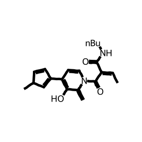 C=C1C(O)=C(C2=CC(C)C=C2)C=CN1C(=O)/C(=C\C)C(=O)NCCCC